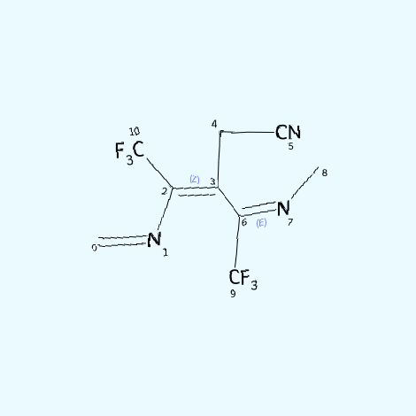 C=N/C(=C(CC#N)\C(=N/C)C(F)(F)F)C(F)(F)F